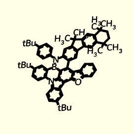 CC(C)(C)c1ccc(N2B3c4cc(C(C)(C)C)ccc4-n4c5ccc(C(C)(C)C)cc5c5c6oc7ccccc7c6c(c3c54)-c3cc4c(cc32)C(C)(C)c2cc3c(cc2-4)C(C)(C)CCC3(C)C)cc1